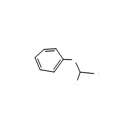 ClC(Cl)Oc1c[c]ccc1